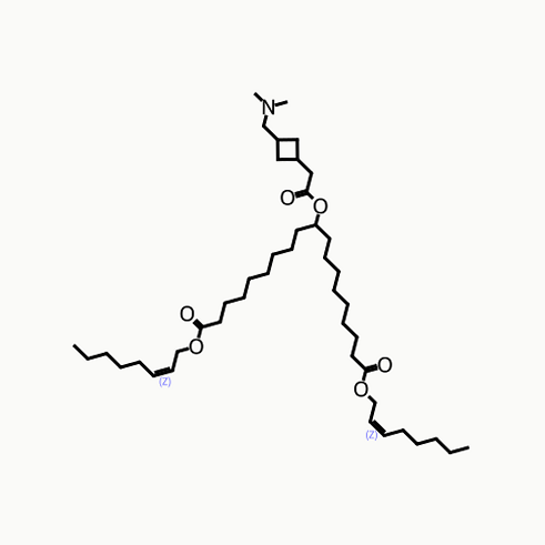 CCCCC/C=C\COC(=O)CCCCCCCCC(CCCCCCCCC(=O)OC/C=C\CCCCC)OC(=O)CC1CC(CN(C)C)C1